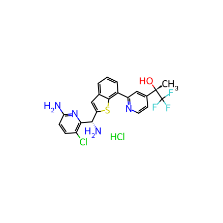 C[C@](O)(c1ccnc(-c2cccc3cc([C@H](N)c4nc(N)ccc4Cl)sc23)c1)C(F)(F)F.Cl